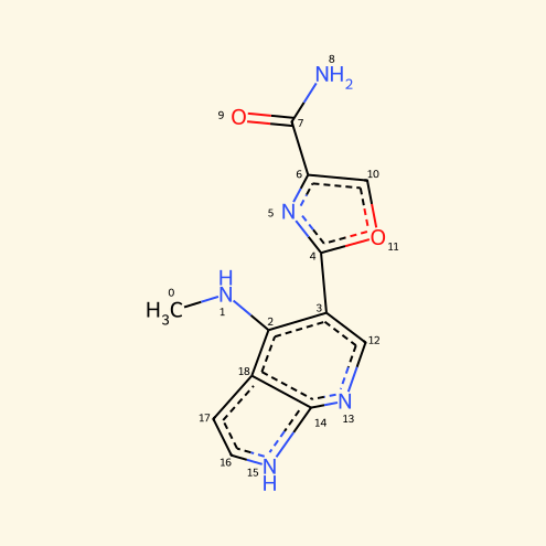 CNc1c(-c2nc(C(N)=O)co2)cnc2[nH]ccc12